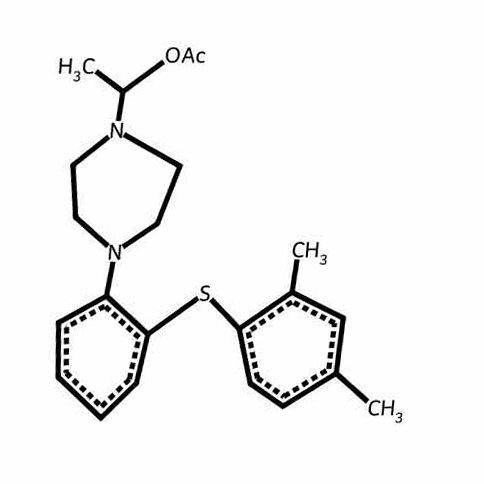 CC(=O)OC(C)N1CCN(c2ccccc2Sc2ccc(C)cc2C)CC1